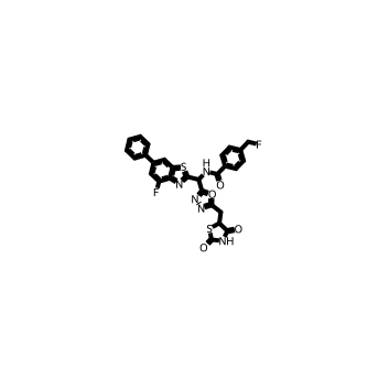 O=C1NC(=O)C(Cc2nnc(C(NC(=O)c3ccc(CF)cc3)c3nc4c(F)cc(-c5ccccc5)cc4s3)o2)S1